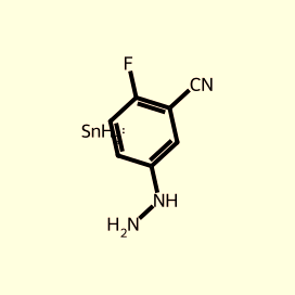 N#Cc1cc(NN)ccc1F.[SnH2]